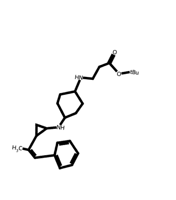 CC(=Cc1ccccc1)C1CC1NC1CCC(NCCC(=O)OC(C)(C)C)CC1